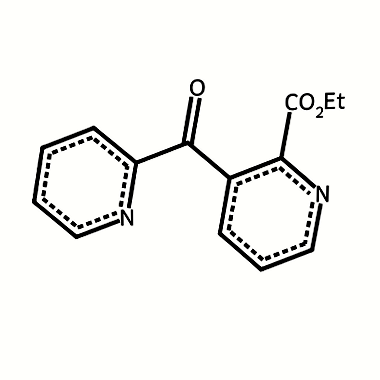 CCOC(=O)c1ncccc1C(=O)c1ccccn1